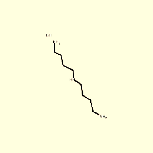 NCCCCNCCCCN.[LiH]